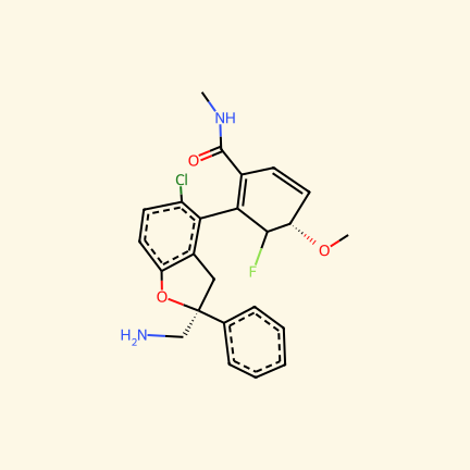 CNC(=O)C1=C(c2c(Cl)ccc3c2C[C@@](CN)(c2ccccc2)O3)C(F)[C@@H](OC)C=C1